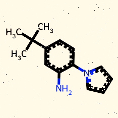 CC(C)(C)c1ccc(-n2cccc2)c(N)c1